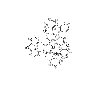 Cc1c(-c2cccc3oc4ccccc4c23)nc(-c2ccc3c(c2)oc2cccc(-c4ccccc4)c23)nc1-n1c2ccccc2c2ccc3oc4ccccc4c3c21